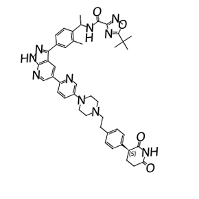 Cc1cc(-c2n[nH]c3ncc(-c4ccc(N5CCN(CCc6ccc([C@@H]7CCC(=O)NC7=O)cc6)CC5)cn4)cc23)ccc1C(C)NC(=O)c1noc(C(C)(C)C)n1